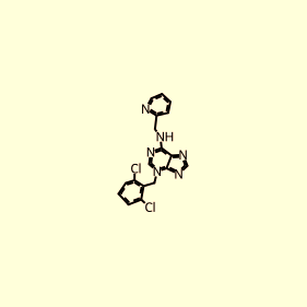 Clc1cccc(Cl)c1Cn1cnc(NCc2ccccn2)c2ncnc1-2